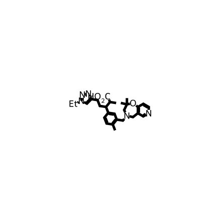 CCn1cc(CCC(c2ccc(C)c(CN3Cc4cnccc4OC(C)(C)C3)c2)C(C)C(=O)O)nn1